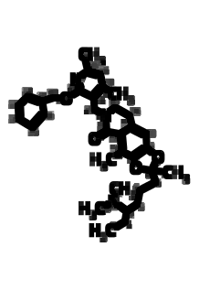 CCC(CCCC1(C)Oc2cc3c(c(C)c2O1)C(=O)N(Cc1c(C)cc(C)nc1OCc1ccccc1)CC3)N(C)C